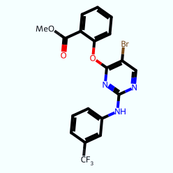 COC(=O)c1ccccc1Oc1nc(Nc2cccc(C(F)(F)F)c2)ncc1Br